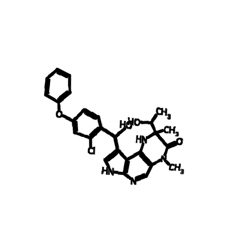 CC(O)C1(C)Nc2c(cnc3[nH]cc(C(O)c4ccc(Oc5ccccc5)cc4Cl)c23)N(C)C1=O